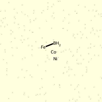 [BH2][Fe].[Co].[Ni]